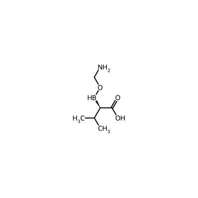 CC(C)[C@@H](BOCN)C(=O)O